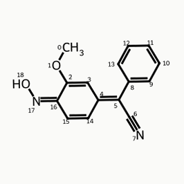 COC1=CC(=C(/C#N)c2ccccc2)/C=CC/1=N/O